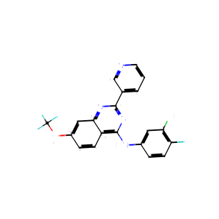 Fc1ccc(Nc2nc(-c3cccnc3)nc3cc(OC(F)(F)F)ccc23)cc1Cl